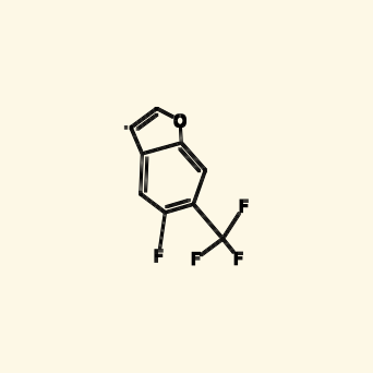 Fc1cc2[c]coc2cc1C(F)(F)F